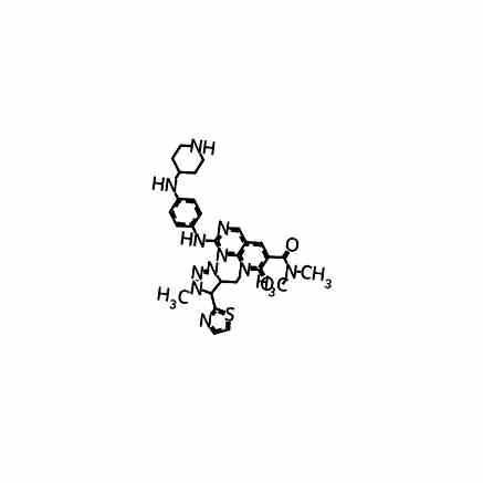 CN(C)C(=O)c1cc2cnc(Nc3ccc(NC4CCNCC4)cc3)nc2n(CC2N=NN(C)C2c2nccs2)c1=O